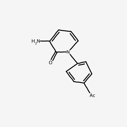 CC(=O)c1ccc(-n2cccc(N)c2=O)cc1